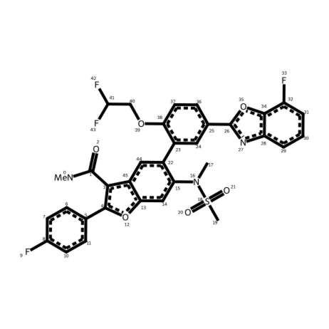 CNC(=O)c1c(-c2ccc(F)cc2)oc2cc(N(C)S(C)(=O)=O)c(-c3cc(-c4nc5cccc(F)c5o4)ccc3OCC(F)F)cc12